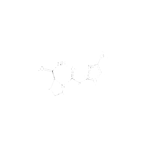 NC(=O)C1CCCN1C(=O)Cc1nc(C(F)(F)F)co1